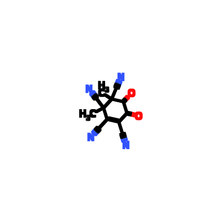 CC1(C#N)C(=O)C(=O)C(C#N)=C(C#N)C1(C)C#N